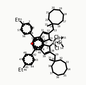 CCc1ccc(-c2cccc3c2C=C(CC2(C)CCCCCCC2)[CH]3[Zr]([Cl])([Cl])([CH]2C(CC3(C)CCCCCCC3)=Cc3c(-c4ccc(CC)cc4)cccc32)[SiH](C)C)cc1